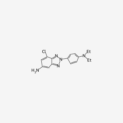 CCN(CC)c1ccc(-n2nc3[c]c(N)cc(Cl)c3n2)cc1